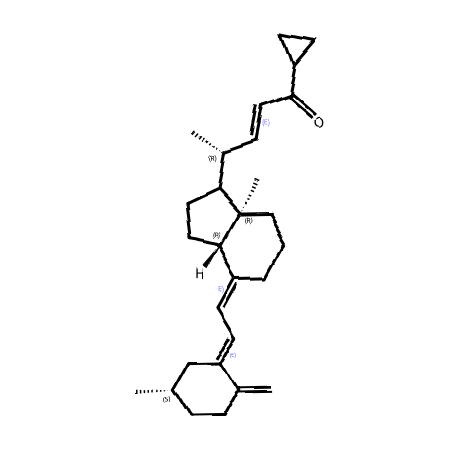 C=C1CC[C@H](C)C/C1=C\C=C1/CCC[C@]2(C)C([C@H](C)/C=C/C(=O)C3CC3)CC[C@@H]12